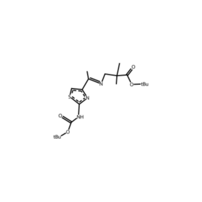 C/C(=N\CC(C)(C)C(=O)OC(C)(C)C)c1csc(NC(=O)OC(C)(C)C)n1